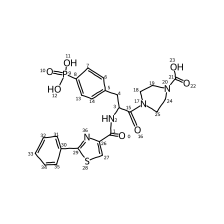 O=C(NC(Cc1ccc(P(=O)(O)O)cc1)C(=O)N1CCN(C(=O)O)CC1)c1csc(-c2ccccc2)n1